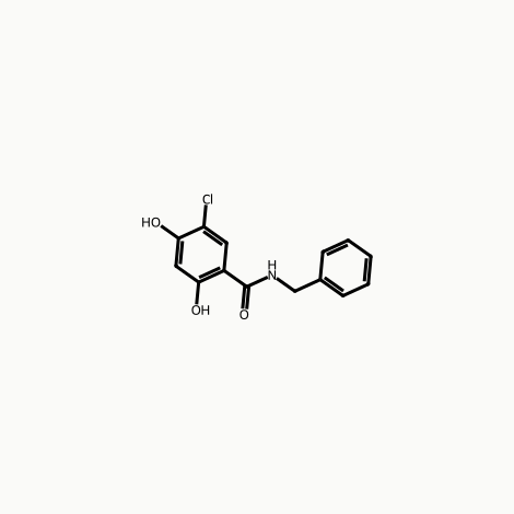 O=C(NCc1ccccc1)c1cc(Cl)c(O)cc1O